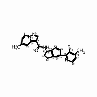 Cc1ccn2ncc(C(=O)N[C@@H]3CCc4cc(-c5nccc(C)c5F)ccc43)c2c1